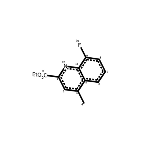 CCOC(=O)c1cc(C)c2cccc(F)c2n1